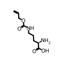 C=CCOC(=O)NCCC[C@@H](N)C(=O)O